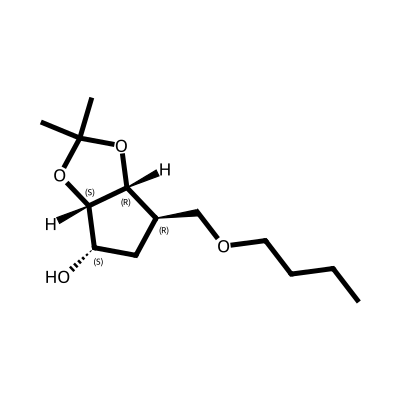 CCCCOC[C@H]1C[C@H](O)[C@@H]2OC(C)(C)O[C@H]12